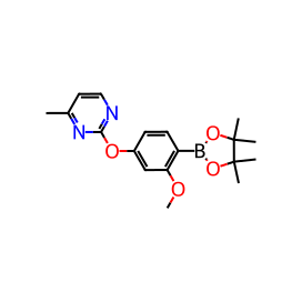 COc1cc(Oc2nccc(C)n2)ccc1B1OC(C)(C)C(C)(C)O1